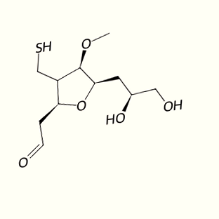 CO[C@@H]1C(CS)[C@H](CC=O)O[C@@H]1C[C@H](O)CO